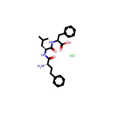 CC(C)C[C@H](NC(=O)[C@@H](N)CCc1ccccc1)C(=O)NC(Cc1ccccc1)C(=O)O.Cl